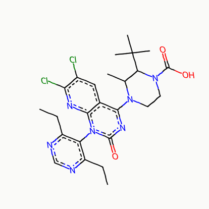 CCc1ncnc(CC)c1-n1c(=O)nc(N2CCN(C(=O)O)C(C(C)(C)C)C2C)c2cc(Cl)c(Cl)nc21